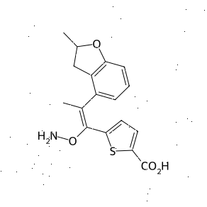 C/C(=C(\ON)c1ccc(C(=O)O)s1)c1cccc2c1CC(C)O2